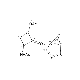 CC(=O)NN1CC(OC(C)=O)C1=O.c1cc2cc-2c1